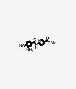 COC(=O)c1ccc(NC(=O)c2ccc(O)c(N)c2)nc1